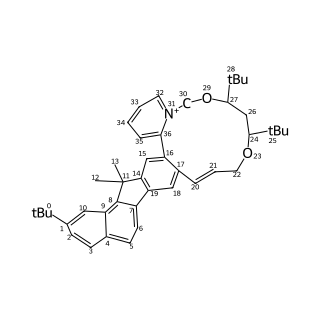 CC(C)(C)c1ccc2ccc3c(c2c1)C(C)(C)c1cc2c(cc1-3)/C=C/COC(C(C)(C)C)CC(C(C)(C)C)OC[n+]1ccccc1-2